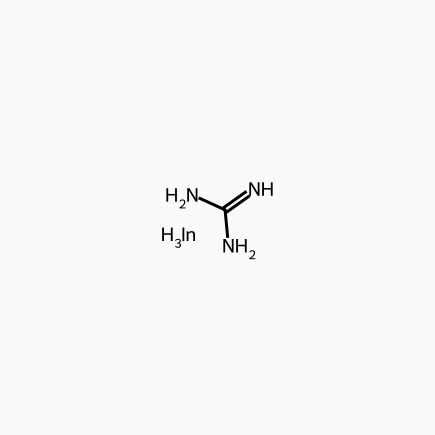 N=C(N)N.[InH3]